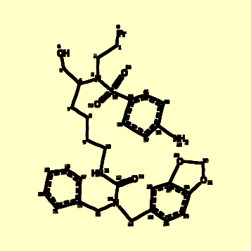 CC(C)CCN(C(CO)CCCCNC(=O)N(Cc1ccccc1)Cc1ccc2c(c1)OCO2)S(=O)(=O)c1ccc(N)cc1